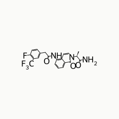 C[C@@H](C(N)=O)n1ccc2c(NC(=O)Cc3ccc(F)c(C(F)(F)F)c3)cccc2c1=O